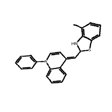 Cc1cccc2c1NC(C=C1C=CN(c3ccccc3)c3ccccc31)S2